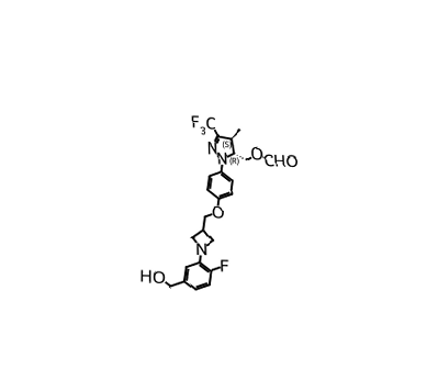 C[C@@H]1C(C(F)(F)F)=NN(c2ccc(OCC3CN(c4cc(CO)ccc4F)C3)cc2)[C@H]1COC=O